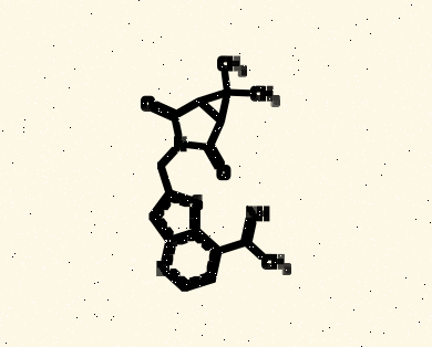 CC(=N)c1ccnc2cc(CN3C(=O)C4C(C3=O)C4(C)C)sc12